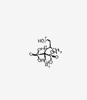 CC(CC(=O)O)NC(C)(P(=O)(O)O)P(=O)(O)O